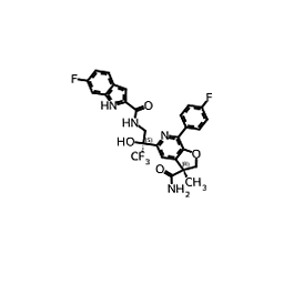 C[C@]1(C(N)=O)COc2c1cc([C@@](O)(CNC(=O)c1cc3ccc(F)cc3[nH]1)C(F)(F)F)nc2-c1ccc(F)cc1